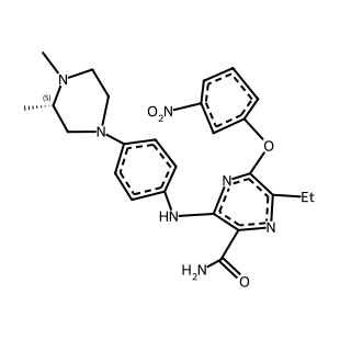 CCc1nc(C(N)=O)c(Nc2ccc(N3CCN(C)[C@@H](C)C3)cc2)nc1Oc1cccc([N+](=O)[O-])c1